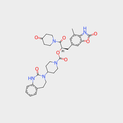 Cc1cc(C[C@@H](OC(=O)N2CCC(N3CCc4ccccc4NC3=O)CC2)C(=O)N2CCC(=O)CC2)cc2oc(=O)[nH]c12